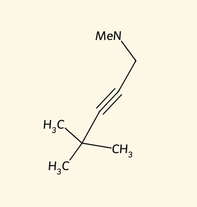 CNCC#CC(C)(C)C